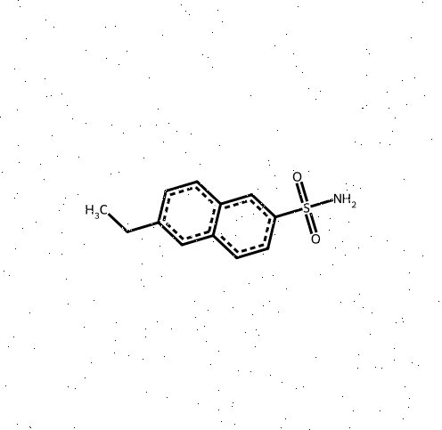 CCc1ccc2cc(S(N)(=O)=O)ccc2c1